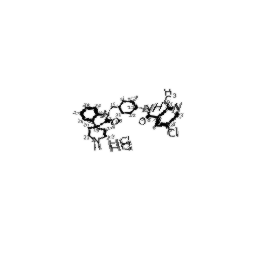 Cc1ncc(Cl)cc1C(=O)N[C@H]1CC[C@H](CN2C(=O)C3(CCNCC3)c3ccccc32)CC1.Cl.Cl